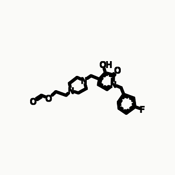 O=COCCN1CCN(Cc2ccn(Cc3cccc(F)c3)c(=O)c2O)CC1